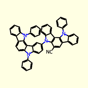 N#Cc1cc2c3ccccc3n(-c3ccccc3)c2c2c3ccccc3n(-c3ccc4c(c3)c3c(ccc5c6ccccc6n(-c6ccccc6)c53)n4-c3ccccc3)c12